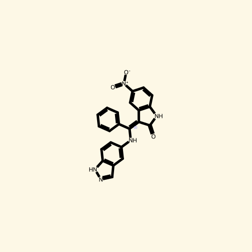 O=C1Nc2ccc([N+](=O)[O-])cc2/C1=C(/Nc1ccc2[nH]ncc2c1)c1ccccc1